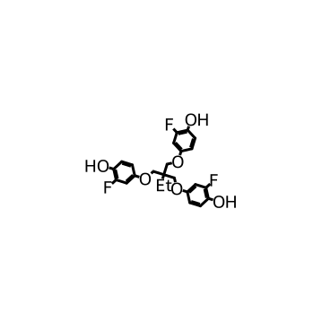 CCC(COc1ccc(O)c(F)c1)(COc1ccc(O)c(F)c1)COc1ccc(O)c(F)c1